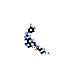 Cc1cnc(C(=O)NCCCNc2nc(Nc3ccc(F)c(I)c3)ncc2-c2cncc(C(=O)O)c2)cn1